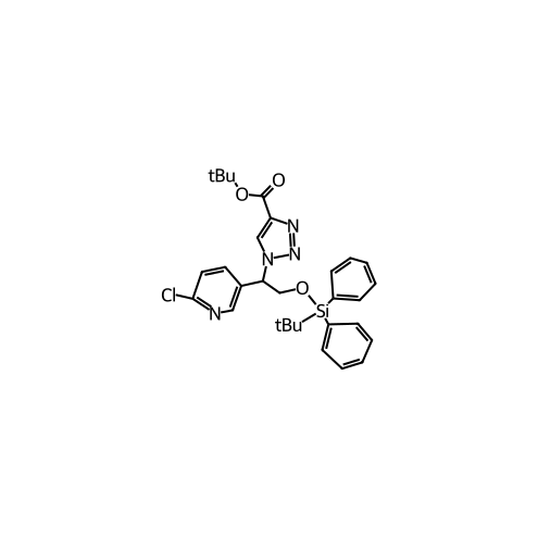 CC(C)(C)OC(=O)c1cn(C(CO[Si](c2ccccc2)(c2ccccc2)C(C)(C)C)c2ccc(Cl)nc2)nn1